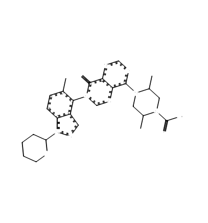 Cc1ccc2c(cnn2C2CCCCO2)c1-n1cnc2c(N3CC(C)N(C(=O)O)CC3C)ncnc2c1=O